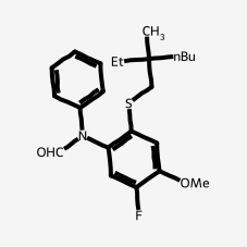 CCCCC(C)(CC)CSc1cc(OC)c(F)cc1N(C=O)c1ccccc1